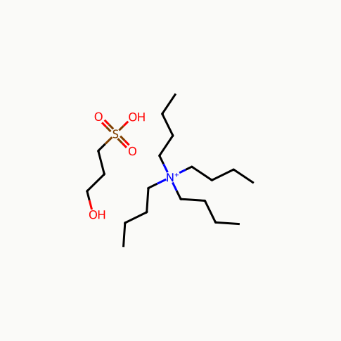 CCCC[N+](CCCC)(CCCC)CCCC.O=S(=O)(O)CCCO